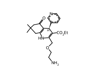 CCOC(=O)C1=C(COCCN)NC2=C(C(=O)CC(C)(C)C2)[C@H]1c1cccnc1